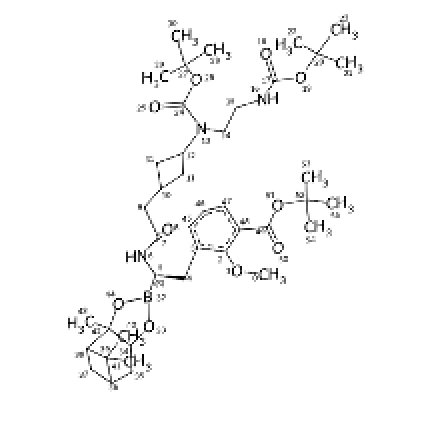 COc1c(C[C@H](NC(=O)CC2CC(N(CCNC(=O)OC(C)(C)C)C(=O)OC(C)(C)C)C2)B2OC3CC4CC(C4(C)C)C3(C)O2)cccc1C(=O)OC(C)(C)C